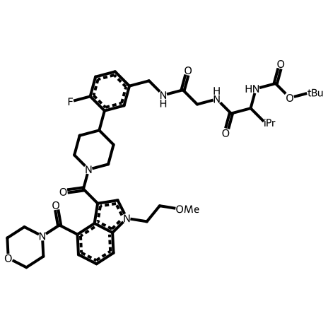 COCCn1cc(C(=O)N2CCC(c3cc(CNC(=O)CNC(=O)C(NC(=O)OC(C)(C)C)C(C)C)ccc3F)CC2)c2c(C(=O)N3CCOCC3)cccc21